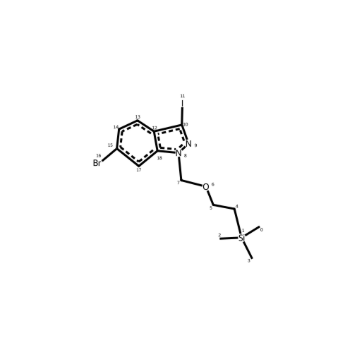 C[Si](C)(C)CCOCn1nc(I)c2ccc(Br)cc21